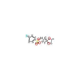 CC1(CCOS(=O)(=O)c2ccc(F)cc2)OCCO1